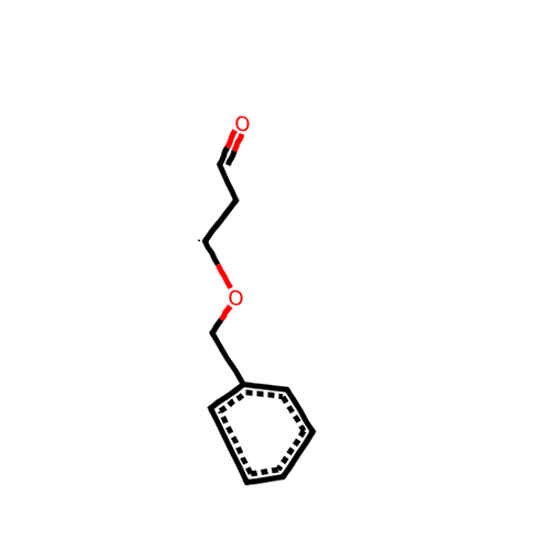 O=CC[CH]OCc1ccccc1